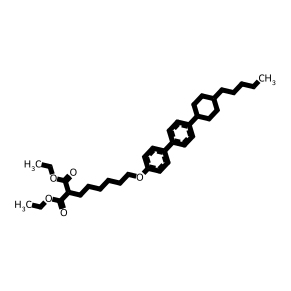 CCCCCC1CCC(c2ccc(-c3ccc(OCCCCCCC(C(=O)OCC)C(=O)OCC)cc3)cc2)CC1